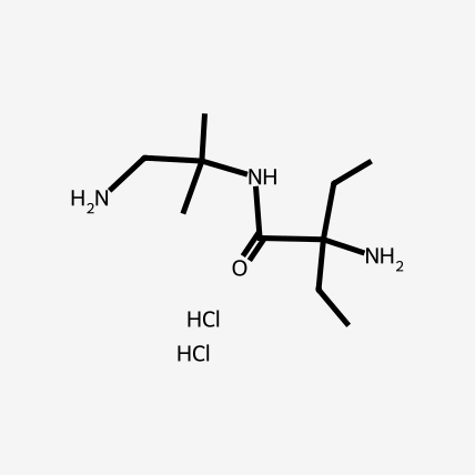 CCC(N)(CC)C(=O)NC(C)(C)CN.Cl.Cl